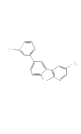 N#Cc1ccc2oc3ccc(-c4cccc(Br)c4)cc3c2c1